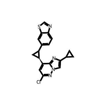 Clc1cc([C@H]2CC2c2ccc3ncsc3c2)c2nc(C3CC3)cn2n1